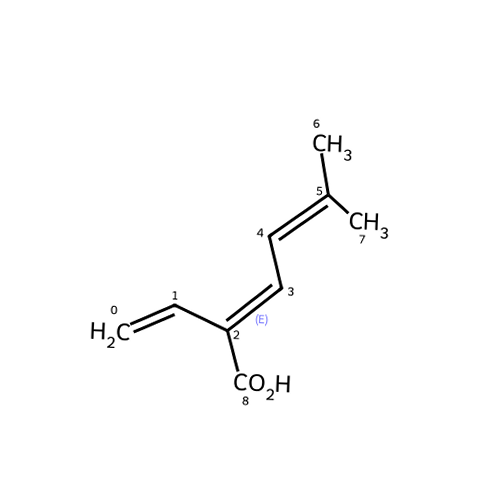 C=C/C(=C\C=C(C)C)C(=O)O